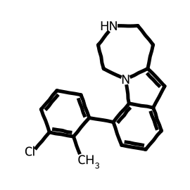 Cc1c(Cl)cccc1-c1cccc2cc3n(c12)CCNCC3